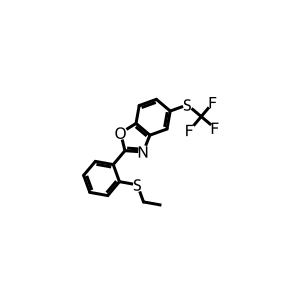 CCSc1ccccc1-c1nc2cc(SC(F)(F)F)ccc2o1